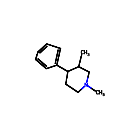 CC1CN(C)CCC1c1ccccc1